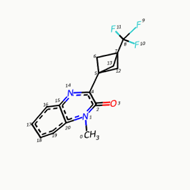 Cn1c(=O)c(C23CC(C(F)(F)F)(C2)C3)nc2ccccc21